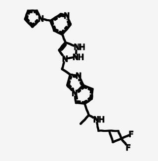 CC(NCC1CC(F)(F)C1)c1ccc2nc(CN3C=C(c4cncc(-n5cccc5)c4)NN3)cn2c1